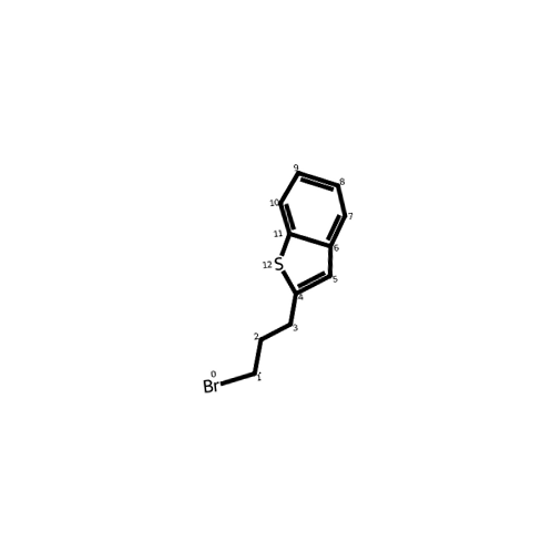 Br[CH]CCc1cc2ccccc2s1